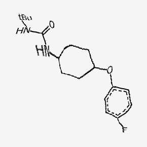 CC(C)(C)NC(=O)NC1CCC(Oc2ccc(F)cc2)CC1